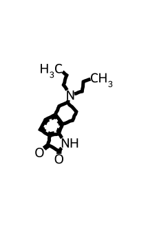 CCCN(CCC)C1CCc2c(ccc3c2NC(=O)C3=O)C1